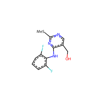 CSc1ncc(CO)c(Nc2c(F)cccc2F)n1